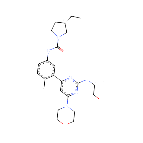 CC[C@@H]1CCN(C(=O)Nc2ccc(C)c(-c3cc(N4CCOCC4)nc(N[C@H](C)CO)n3)c2)C1